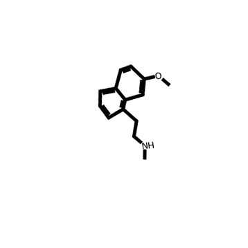 CNCCc1cccc2ccc(OC)cc12